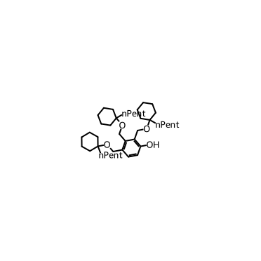 CCCCCC1(OCc2ccc(O)c(COC3(CCCCC)CCCCC3)c2COC2(CCCCC)CCCCC2)CCCCC1